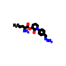 C=CCC(N)C(=O)OC1CCCN(c2ccc(C=NN)cc2)C1=O